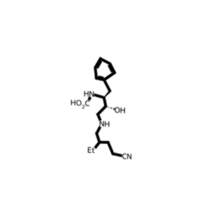 CCC(CCC#N)CNC[C@@H](O)[C@H](Cc1ccccc1)NC(=O)O